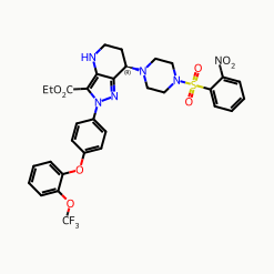 CCOC(=O)c1c2c(nn1-c1ccc(Oc3ccccc3OC(F)(F)F)cc1)[C@H](N1CCN(S(=O)(=O)c3ccccc3[N+](=O)[O-])CC1)CCN2